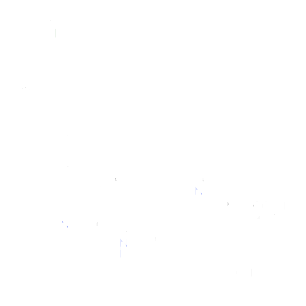 Cc1cc(Nc2ncc(-c3ccc(Cl)cc3)o2)cnc1C(=O)O